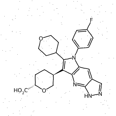 O=C(O)[C@@H]1CC[C@@H](c2c(C3CCOCC3)n(-c3ccc(F)cc3)c3cc4cn[nH]c4nc23)CO1